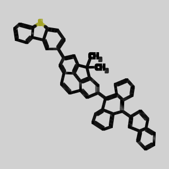 CC1(C)c2cc(-c3ccc4sc5ccccc5c4c3)cc3ccc4cc(-c5c6ccccc6c(-c6ccc7ccccc7c6)c6ccccc56)cc1c4c23